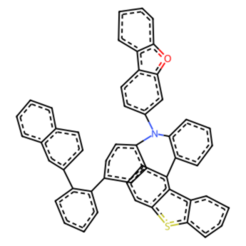 c1ccc(-c2ccc3ccccc3c2)c(-c2ccc(N(c3ccc4c(c3)oc3ccccc34)c3ccccc3-c3cccc4sc5ccccc5c34)cc2)c1